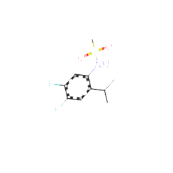 CC(C)c1cc(F)c(F)cc1NS(C)(=O)=O